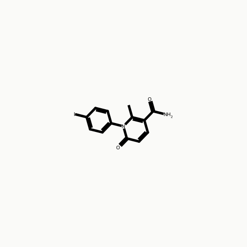 Cc1c(C(N)=O)ccc(=O)n1-c1ccc(I)cc1